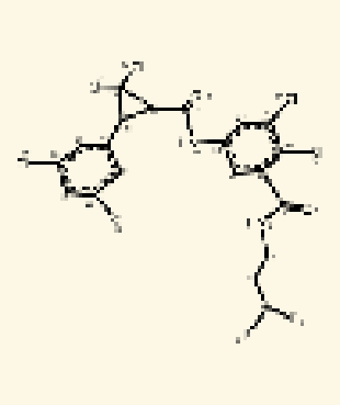 O=C(NCCC(F)F)c1cc(NC(=O)C2C(c3cc(Cl)cc(Cl)c3)C2(Cl)Cl)cc(Cl)c1Cl